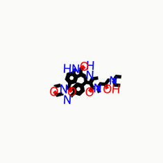 CCN(CC)CC(O)CN(C)C(=O)C1=C(C)NC(=C2C(=O)Nc3ccc(C(=O)N4CCOCC4)cc32)C1c1ccc(C#N)cc1